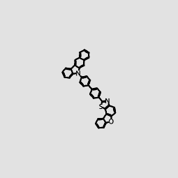 c1ccc2cc3c(cc2c1)c1ccccc1n3-c1ccc(-c2ccc(-c3nc4ccc5oc6ccccc6c5c4s3)cc2)cc1